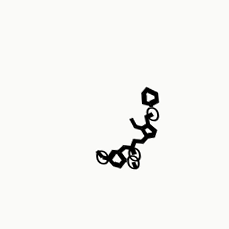 CCC1C(CCC(=O)Cc2cc(OC)ccc2OC)=CC=C1COc1ccccc1